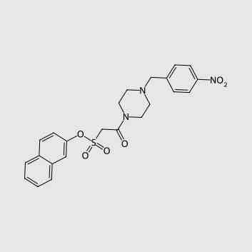 O=C(CS(=O)(=O)Oc1ccc2ccccc2c1)N1CCN(Cc2ccc([N+](=O)[O-])cc2)CC1